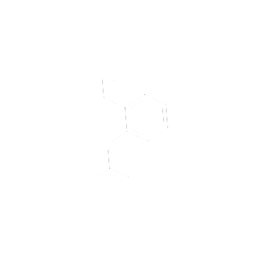 O=C(O)Cc1ccccc1OC(F)F